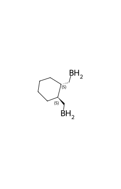 BC[C@H]1CCCC[C@@H]1CB